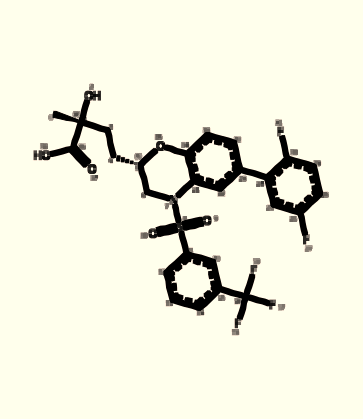 C[C@@](O)(CC[C@H]1CN(S(=O)(=O)c2cccc(C(F)(F)F)c2)c2cc(-c3cc(F)ccc3F)ccc2O1)C(=O)O